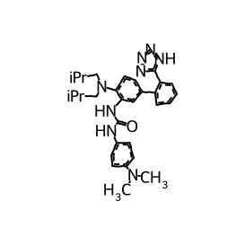 CC(C)CN(CC(C)C)c1ccc(-c2ccccc2-c2nnn[nH]2)cc1NC(=O)Nc1ccc(N(C)C)cc1